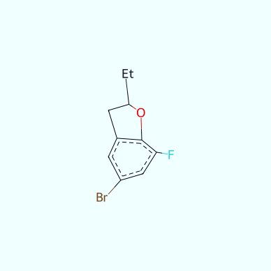 CCC1Cc2cc(Br)cc(F)c2O1